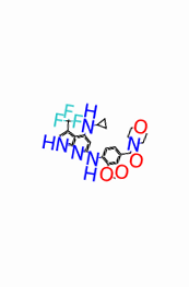 O=C(c1ccc(Nc2cc(NC3CC3)c3c(C(F)(F)F)c[nH]c3n2)c2c1OCO2)N1CCOCC1